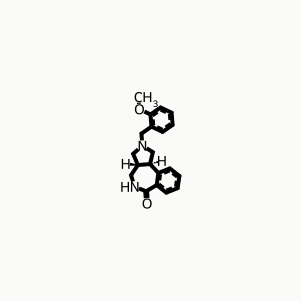 COc1ccccc1CN1C[C@H]2CNC(=O)c3ccccc3[C@@H]2C1